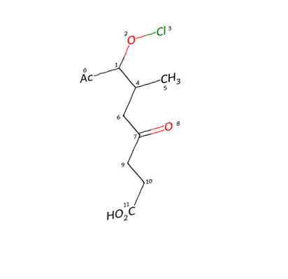 CC(=O)C(OCl)C(C)CC(=O)CCC(=O)O